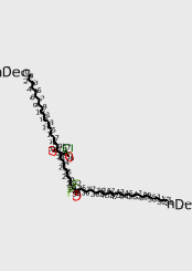 CCCCCCCCCCCCCCCCCCCCCCCCCCCCCC(=O)C(CCCCCCCC(F)(F)C(=O)CCCCCCCCCCCCCCCCCCCCCCCCCCCCC)C(=O)Cl